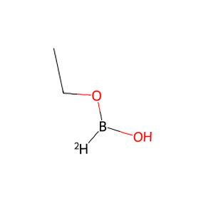 [2H]B(O)OCC